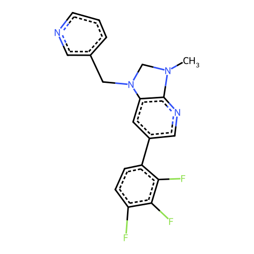 CN1CN(Cc2cccnc2)c2cc(-c3ccc(F)c(F)c3F)cnc21